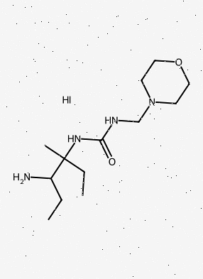 CCC(N)C(C)(CC)NC(=O)NCN1CCOCC1.I